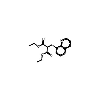 CCOC(=O)C(Oc1cccc2cccnc12)C(=O)OCC